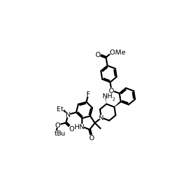 CCN(C(=O)OC(C)(C)C)c1cc(F)cc2c1NC(=O)C2(C)N1CC[C@H](c2ccccc2Oc2ccc(C(=O)OC)cc2)[C@@H](N)C1